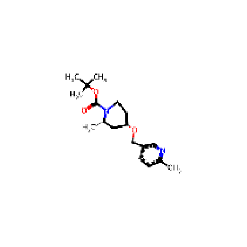 Cc1ccc(CO[C@H]2CCN(C(=O)OC(C)(C)C)[C@@H](C)C2)cn1